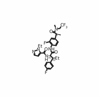 CC[C@@H](c1ccc(F)cc1)[C@H](NC(=O)c1ccnn1CC)C(=O)Nc1ccc([C@H](C)C(=O)N(C)CC(F)(F)F)cc1F